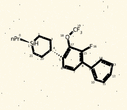 CCC[Si@H]1CC[C@H](c2ccc(-c3ccccc3)c(F)c2OC(F)(F)F)CC1